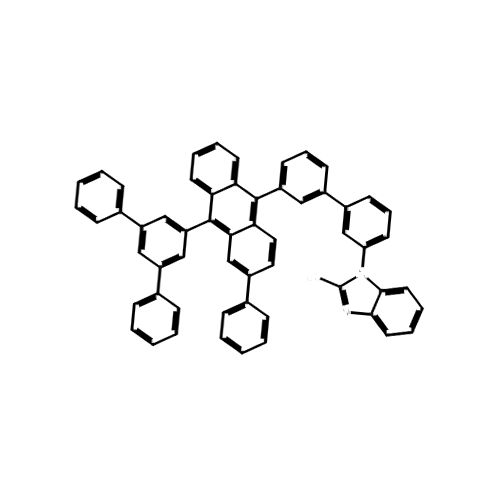 CCc1nc2ccccc2n1-c1cccc(-c2cccc(-c3c4ccccc4c(-c4cc(-c5ccccc5)cc(-c5ccccc5)c4)c4cc(-c5ccccc5)ccc34)c2)c1